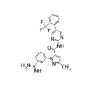 Cc1cc(C(=O)Nc2ncc(-c3ccccc3C(F)(F)F)cn2)n(-c2cccc(C(=N)N)c2)n1